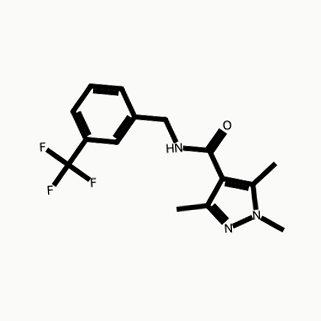 Cc1nn(C)c(C)c1C(=O)NCc1cccc(C(F)(F)F)c1